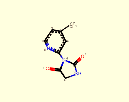 O=C1CNC(=O)N1c1cc(C(F)(F)F)ccn1